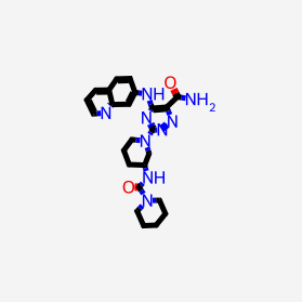 NC(=O)c1nnc(N2CCCC(NC(=O)N3CCCCC3)C2)nc1Nc1ccc2cccnc2c1